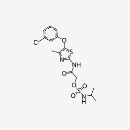 Cc1nc(NC(=O)COS(=O)(=O)NC(C)C)sc1Oc1cccc(Cl)c1